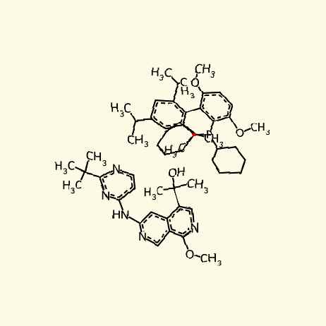 COc1ccc(OC)c(P(C2CCCCC2)C2CCCCC2)c1-c1c(C(C)C)cc(C(C)C)cc1C(C)C.COc1ncc(C(C)(C)O)c2cc(Nc3ccnc(C(C)(C)C)n3)ncc12